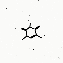 C=C1C(C)=CC(C)C(=C)C1C